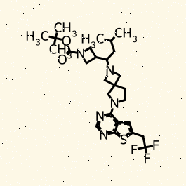 CC(C)CC(C1CN(C(=O)OC(C)(C)C)C1)N1CC2(CCN(c3ncnc4sc(CC(F)(F)F)cc34)C2)C1